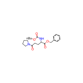 CCCCOC(=O)NC(CCC(=O)N1CCCC1)C(=O)OCc1ccccc1